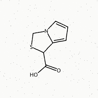 O=C(O)C1SCn2cccc21